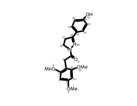 COc1cc(OC)c(CC(=O)N2CCC(c3ccc(O)cc3)=N2)c(OC)c1